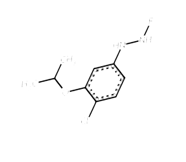 CC(C)Oc1cc(NNF)ccc1Cl